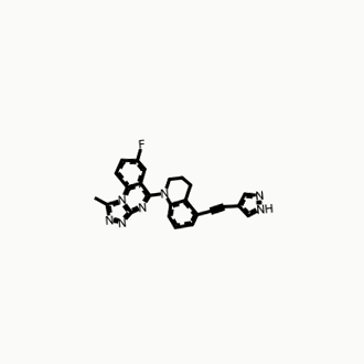 Cc1nnc2nc(N3CCCc4c(C#Cc5cn[nH]c5)cccc43)c3cc(F)ccc3n12